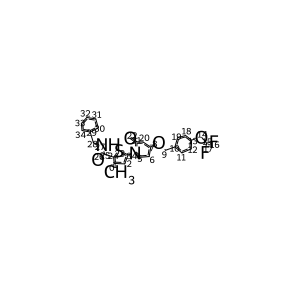 Cc1cc(-n2ccc(OCc3ccc(OC(F)F)cc3)cc2=O)sc1C(=O)NCc1ccccc1